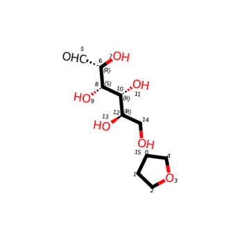 C1CCOC1.O=C[C@H](O)[C@@H](O)[C@H](O)[C@H](O)CO